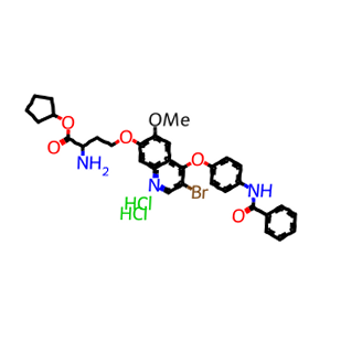 COc1cc2c(Oc3ccc(NC(=O)c4ccccc4)cc3)c(Br)cnc2cc1OCCC(N)C(=O)OC1CCCC1.Cl.Cl